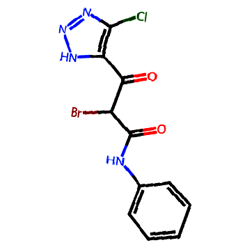 O=C(Nc1ccccc1)C(Br)C(=O)c1[nH]nnc1Cl